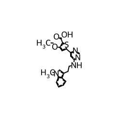 CCOc1cc(-c2cc(NCCc3cn(C)c4ccccc34)ncn2)sc1C(=O)O